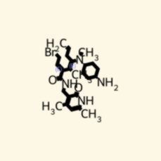 C=CC/C(=C(C)\C(=C/CBr)C(=O)NCc1c(C)cc(C)[nH]c1=O)N(C)[C@H]1CC[C@H](N)CC1